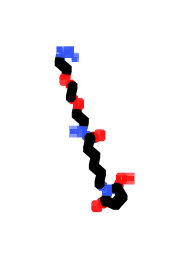 NCCOCCOCCNC(=O)CCCCCN1C(=O)C=CC1O